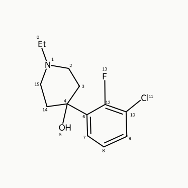 CCN1CCC(O)(c2cccc(Cl)c2F)CC1